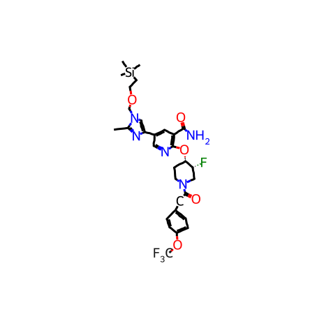 Cc1nc(-c2cnc(O[C@H]3CCN(C(=O)Cc4ccc(OC(F)(F)F)cc4)C[C@H]3F)c(C(N)=O)c2)cn1COCC[Si](C)(C)C